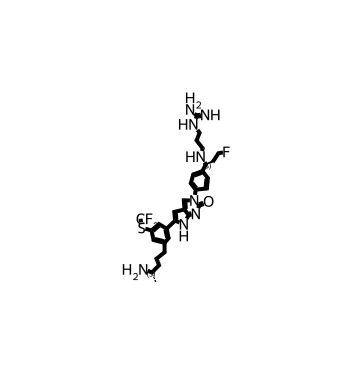 C[C@H](N)CCCc1cc(SC(F)(F)F)cc(-c2cc3cn(-c4ccc([C@H](CCF)NCCCNC(=N)N)cc4)c(=O)nc3[nH]2)c1